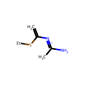 C=C(/N=C(\C)N)SCC